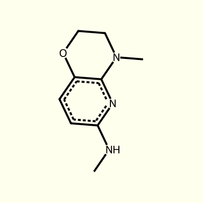 CNc1ccc2c(n1)N(C)CCO2